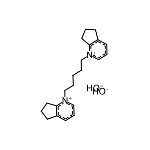 [OH-].[OH-].c1cc2c([n+](CCCCC[n+]3cccc4c3CCC4)c1)CCC2